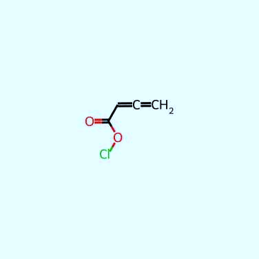 C=C=CC(=O)OCl